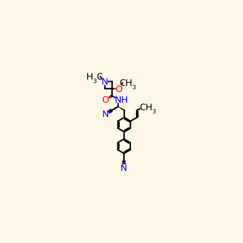 C/C=C/c1cc(-c2ccc(C#N)cc2)ccc1C[C@@H](C#N)NC(=O)C1(OC)CN(C)C1